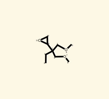 CCC(COC)(COC)C1CO1